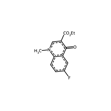 CCOC(=O)c1cn(C)c2ccc(F)cc2c1=O